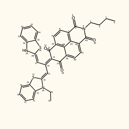 CCCCN1C(=O)c2ccc3c(=O)c(=C(C=C4Sc5ccccc5N4CC)/C=C4/Nc5ccccc5S4)c(=O)c4ccc(c2c34)C1=O